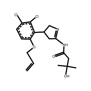 C=CCOc1ccc(Cl)c(Cl)c1C1CN=C(NC(=O)CC(C)(C)O)C1